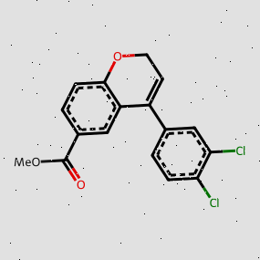 COC(=O)c1ccc2c(c1)C(c1ccc(Cl)c(Cl)c1)=CCO2